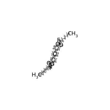 CCCCCCC[C@@H](F)C(=O)OC1CCC(c2ccc(C3CCC(OC(=O)[C@H](F)CCCCCCC)CC3)cc2)CC1